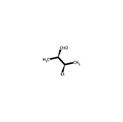 CC[C@H](C)[C@@H](C)C=O